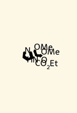 CCOC(=O)NC(COC)C(=O)OC.c1ccncc1